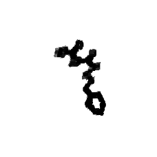 O=C(O)OC(=O)NSSCc1ccccc1